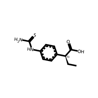 CC[C@H](C(=O)O)c1ccc(NC(N)=S)cc1